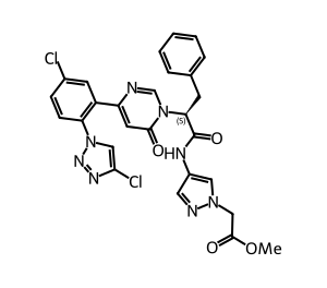 COC(=O)Cn1cc(NC(=O)[C@H](Cc2ccccc2)n2cnc(-c3cc(Cl)ccc3-n3cc(Cl)nn3)cc2=O)cn1